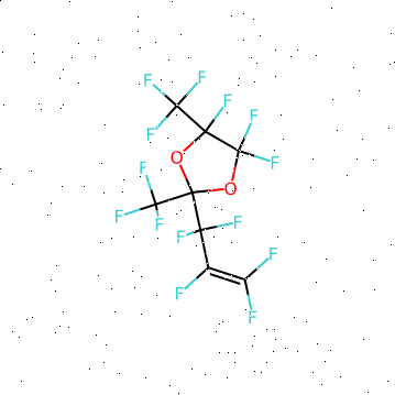 FC(F)=C(F)C(F)(F)C1(C(F)(F)F)OC(F)(F)C(F)(C(F)(F)F)O1